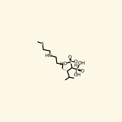 CSCCNCCCC[C@@H](C(C)C)C(P(=O)(O)O)P(=O)(O)O